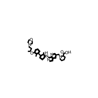 Cc1c(Nc2nccc3cc(CN4CCCCC4C(=O)O)cnc23)cccc1-c1cccc(OC(C)CCN2CCOCC2)c1C